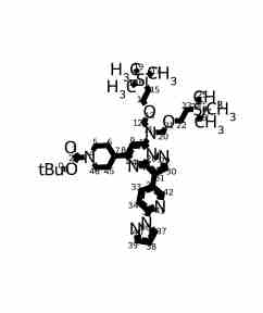 CC(C)(C)OC(=O)N1CCC(c2cc(N(COCC[Si](C)(C)C)COCC[Si](C)(C)C)n3ncc(-c4ccc(-n5cccn5)nc4)c3n2)CC1